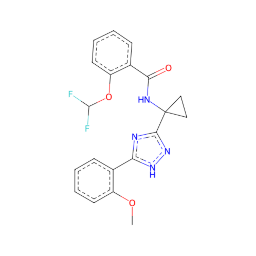 COc1ccccc1-c1nc(C2(NC(=O)c3ccccc3OC(F)F)CC2)n[nH]1